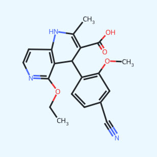 CCOc1nccc2c1C(c1ccc(C#N)cc1OC)C(C(=O)O)=C(C)N2